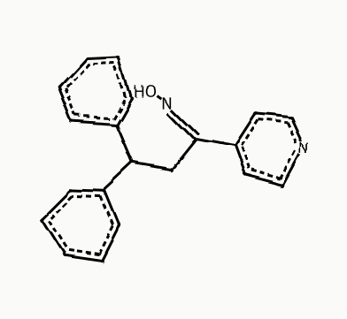 O/N=C(\CC(c1ccccc1)c1ccccc1)c1ccncc1